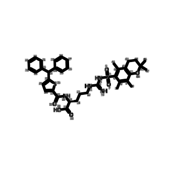 Cc1c(C)c(S(=O)(=O)NC(=N)NCCC[C@H](NC(=O)c2ccc(C(c3ccccc3)c3ccccc3)s2)C(=O)O)c(C)c2c1OC(C)(C)CC2